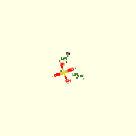 Cl.Cl.Cl.O=S(=O)(O)O.[Fe]